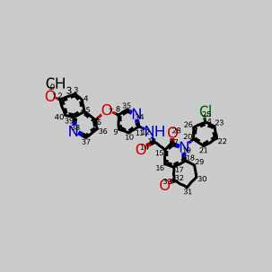 COc1ccc2c(Oc3ccc(NC(=O)c4cc5c(n(-c6cccc(Cl)c6)c4=O)CCCC5=O)nc3)ccnc2c1